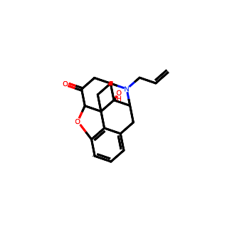 C=CCN1CCC23c4c5[c]ccc4CC1C2(O)CCC(=O)C3O5